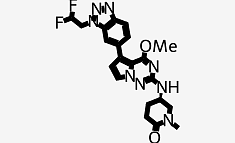 COc1nc(N[C@@H]2CCC(=O)N(C)C2)nn2ccc(-c3ccc4nnn(CC(F)F)c4c3)c12